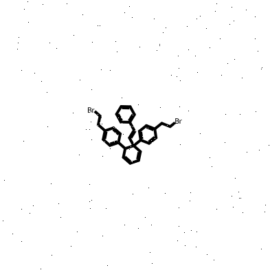 BrCCc1ccc(C2C=CC=CC2(C=Cc2ccccc2)c2ccc(CCBr)cc2)cc1